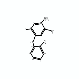 Cc1cc([N+](=O)[O-])c(Br)cc1Oc1ccccc1Cl